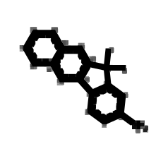 Bc1ccc2c(c1)C(C)(C)c1cc3ccccc3cc1-2